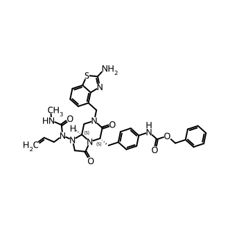 C=CCN(C(=O)NC)N1CC(=O)N2[C@@H](Cc3ccc(NC(=O)OCc4ccccc4)cc3)C(=O)N(Cc3cccc4sc(N)nc34)C[C@@H]21